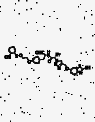 CC(C)[C@@H](C(=O)N[C@H](C=O)Cc1ccc(OCCOSc2ccccc2N=O)cc1)n1cc(COc2ccc3nc(S)sc3c2)nn1